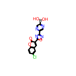 O=c1oc2ccc(Cl)cc2cc1-c1nc(-c2cnc(B(O)O)cn2)no1